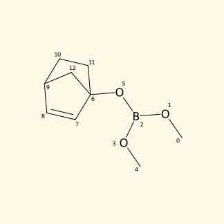 COB(OC)OC12C=CC(CC1)C2